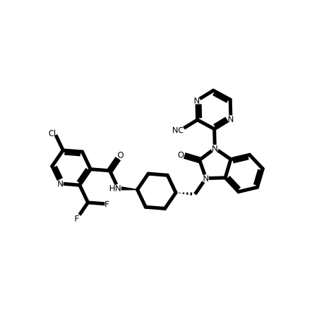 N#Cc1nccnc1-n1c(=O)n(C[C@H]2CC[C@H](NC(=O)c3cc(Cl)cnc3C(F)F)CC2)c2ccccc21